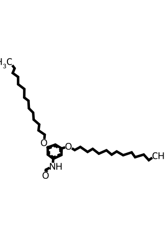 CCCCCCCCCCCCCCOc1cc(NC=O)cc(OCCCCCCCCCCCCCC)c1